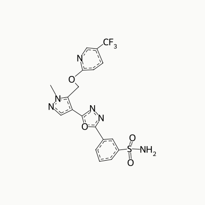 Cn1ncc(-c2nnc(-c3cccc(S(N)(=O)=O)c3)o2)c1COc1ccc(C(F)(F)F)cn1